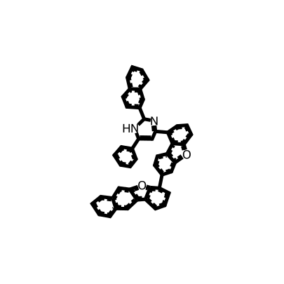 C1=C(c2ccccc2)NC(c2ccc3ccccc3c2)N=C1c1cccc2oc3cc(-c4cccc5c4oc4cc6ccccc6cc45)ccc3c12